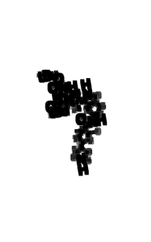 Cc1cc(C2=CCNCC2)ccc1C(=O)Nc1ccc2c(c1)C(c1ccn(/C(=N\C(=O)OC(C)(C)C)NC(=O)OC(C)(C)C)n1)NC2